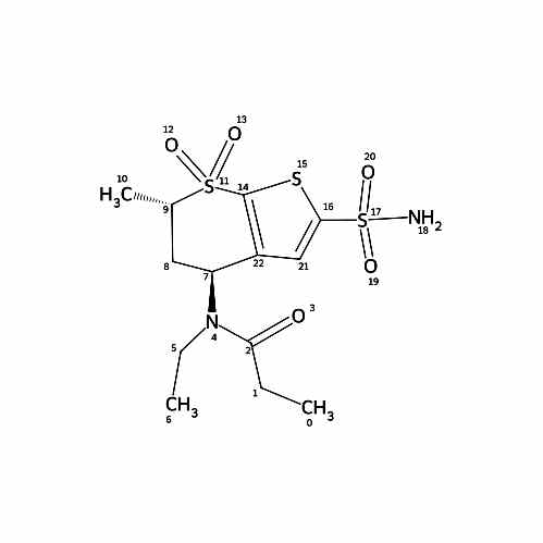 CCC(=O)N(CC)[C@H]1C[C@H](C)S(=O)(=O)c2sc(S(N)(=O)=O)cc21